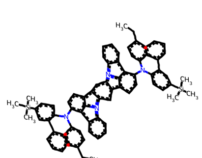 CCc1ccc(N(c2ccc([Si](C)(C)C)cc2-c2ccccc2)c2ccc3c4cc5c(cc4n4c6ccccc6c2c34)c2ccc(N(c3ccc(CC)cc3)c3ccc([Si](C)(C)C)cc3-c3ccccc3)c3c4ccccc4n5c23)cc1